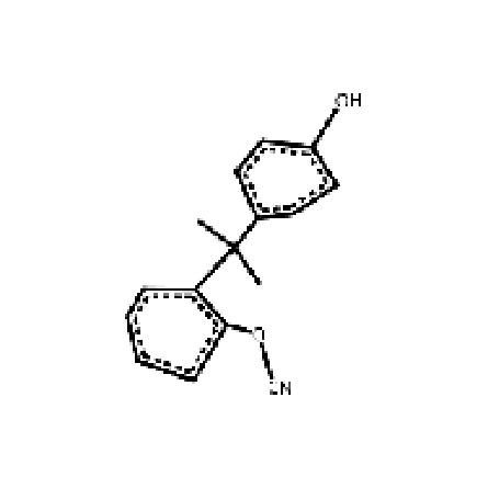 CC(C)(c1ccc(O)cc1)c1ccccc1OC#N